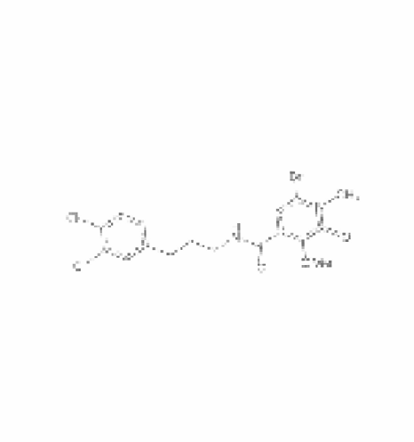 COc1c(C(=O)NCCCc2ccc(Cl)c(Cl)c2)cc(Br)n(C)c1=O